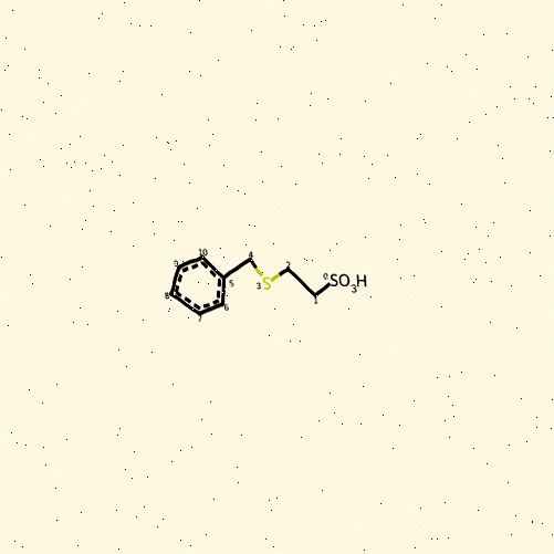 O=S(=O)(O)CCSCc1ccccc1